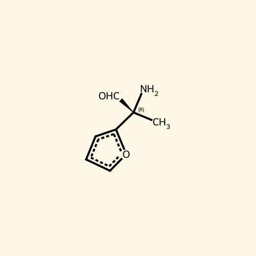 C[C@](N)(C=O)c1ccco1